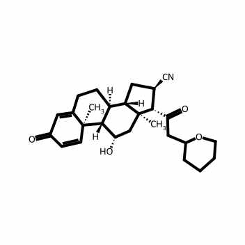 C[C@]12C[C@H](O)[C@H]3[C@@H](CCC4=CC(=O)C=C[C@@]43C)[C@@H]1C[C@@H](C#N)[C@@H]2C(=O)CC1CCCCO1